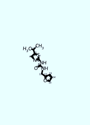 CC(C)c1cnc(NC(=O)NCc2ccco2)s1